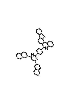 c1ccc2cc(-c3cc(-c4ccc5ccccc5c4)nc(-c4ccc(-c5nc6ccccc6c6c5ccc5c7ccccc7sc56)cc4)n3)ccc2c1